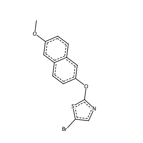 COc1ccc2cc(Oc3ncc(Br)s3)ccc2c1